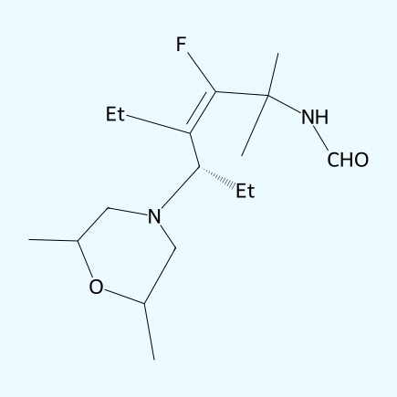 CC/C(=C(\F)C(C)(C)NC=O)[C@H](CC)N1CC(C)OC(C)C1